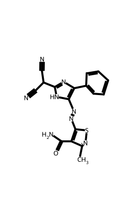 Cc1nsc(/N=N/c2[nH]c(C(C#N)C#N)nc2-c2ccccc2)c1C(N)=O